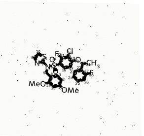 COc1ccc(CN(c2nccs2)S(=O)(=O)c2ccc(OC(C)c3ccccc3F)c(Cl)c2F)c(OC)c1